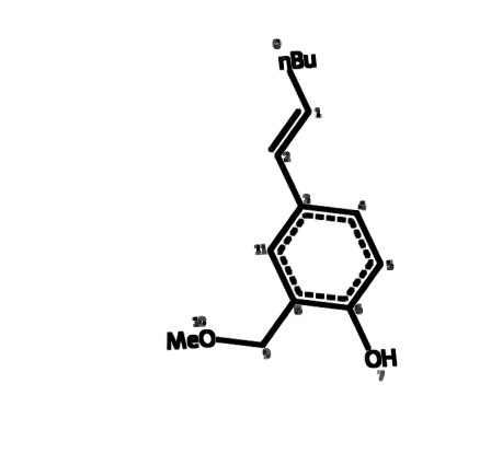 CCCCC=Cc1ccc(O)c(COC)c1